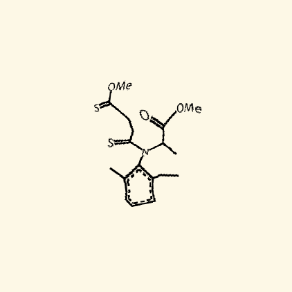 COC(=O)C(C)N(C(=S)CC(=S)OC)c1c(C)cccc1C